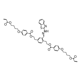 C=CC(=O)OCCCCOc1ccc(C(=O)OCCc2ccc(CCOC(=O)c3ccc(OCCCCOC(=O)C=C)cc3)c(/C=N/Nc3nc4ccccc4s3)c2)cc1